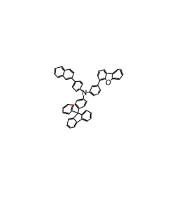 c1ccc(C2(c3ccc(N(c4ccc(-c5ccc6ccccc6c5)cc4)c4cccc(-c5cccc6c5oc5ccccc56)c4)cc3)c3ccccc3-c3ccccc32)cc1